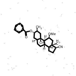 CO[C@H]1C[C@]2(C)[C@@H](C#N)CC[C@H]2[C@@H]2CC[C@H]3C[C@H](OC(=O)c4ccccc4)[C@@H](C)C[C@]3(C)[C@H]21